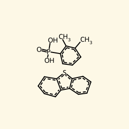 Cc1cccc(P(=O)(O)O)c1C.c1ccc2c(c1)sc1ccccc12